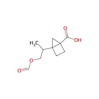 CC(COC=O)C12CCC1(C(=O)O)C2